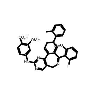 COc1cc(Nc2ncc3c(n2)C2=CCC(c4ccccc4C)C=C2C(c2c(F)cccc2OC)=NC3)ccc1C(=O)O